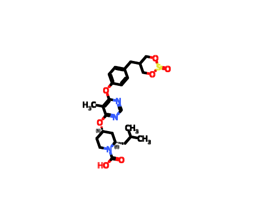 Cc1c(Oc2ccc(CC3COS(=O)OC3)cc2)ncnc1O[C@H]1CCN(C(=O)O)[C@@H](CC(C)C)C1